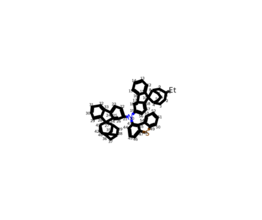 CCC1CCC2CCCC(C1)C21c2ccccc2-c2cc(N(c3ccc4c(c3)C3(c5ccccc5-4)C4CC5CC(C4)CC3C5)c3cccc4sc5ccccc5c34)ccc21